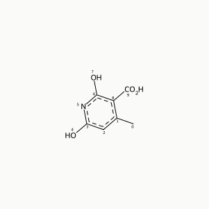 Cc1cc(O)nc(O)c1C(=O)O